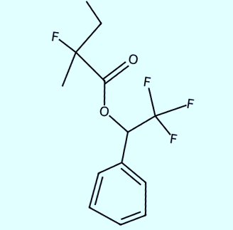 CCC(C)(F)C(=O)OC(c1ccccc1)C(F)(F)F